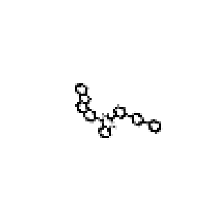 c1ccc(-c2ccc(-c3cccc(-c4nc(-c5ccc6ccc7c(c6c5)Cc5ccccc5-7)c5ccccc5n4)c3)cc2)cc1